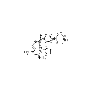 Cc1cc(N)c(C2CCCC2)c2nc(Nc3ccc(N4CCCNCC4)cc3)ncc12